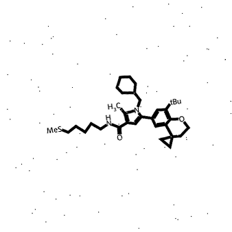 CSCCCCCNC(=O)c1cc(-c2cc(C(C)(C)C)c3c(c2)C2(CCO3)CC2)n(CC2CCCCC2)c1C